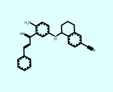 N#Cc1ccc2c(c1)CCCC2Nc1ccc(N)c(C(=N)/C=C/c2ccccc2)c1